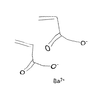 C=CC(=O)[O-].C=CC(=O)[O-].[Ba+2]